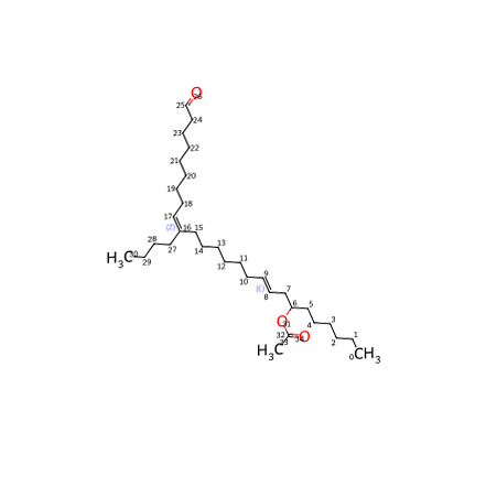 CCCCCCC(C/C=C/CCCCCC/C(=C\CCCCCCCC=O)CCCC)OC(C)=O